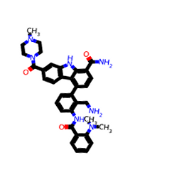 CN1CCN(C(=O)c2ccc3c(c2)[nH]c2c(C(N)=O)ccc(-c4cccc(NC(=O)c5ccccc5N(C)C)c4CN)c23)CC1